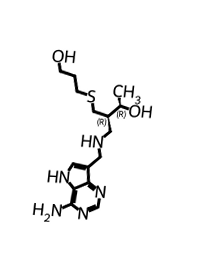 C[C@@H](O)[C@@H](CNCc1c[nH]c2c(N)ncnc12)CSCCCO